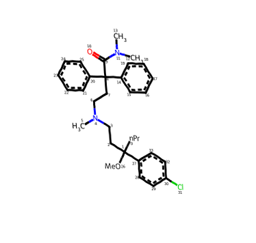 CCCC(CCN(C)CCC(C(=O)N(C)C)(c1ccccc1)c1ccccc1)(OC)c1ccc(Cl)cc1